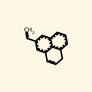 C=Cc1cc2c3c(cccc3c1)CC=C2